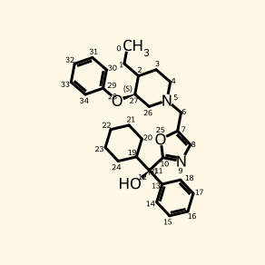 CCC1CCN(Cc2cnc([C@](O)(c3ccccc3)C3CCCCC3)o2)C[C@H]1Oc1ccccc1